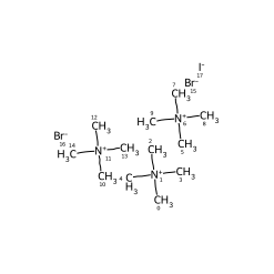 C[N+](C)(C)C.C[N+](C)(C)C.C[N+](C)(C)C.[Br-].[Br-].[I-]